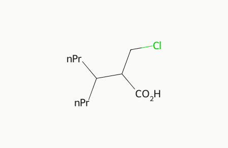 CCCC(CCC)C(CCl)C(=O)O